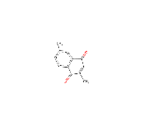 CC1=CC(=O)c2cc(C)ccc2C1=O